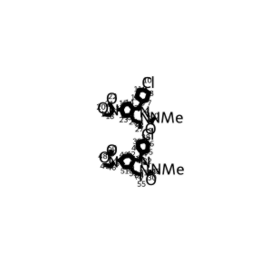 CNC(=O)N1N=C(c2ccc(Cl)cc2)c2ccc(N3CCOC3=O)cc2CC1C.CNC(=O)N1N=C(c2ccc(Cl)cc2)c2ccc(N3CCOC3=O)cc2C[C@@H]1C